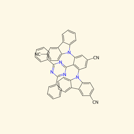 N#Cc1cc(-n2c3ccccc3c3cc(C#N)ccc32)c(-c2nc(-c3ccccc3)nc(-c3ccccc3)n2)c(-n2c3ccccc3c3cc(C#N)ccc32)c1